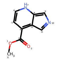 COC(=O)c1cc[nH]c2cncc1-2